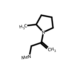 C=C(CNC)N1CCCC1C